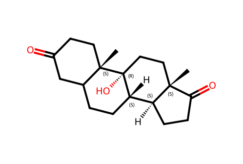 C[C@]12CCC(=O)CC1CC[C@H]1[C@@H]3CCC(=O)[C@@]3(C)CC[C@@]12O